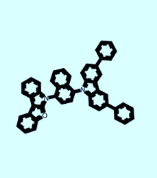 c1ccc(-c2ccc3c(c2)c2cc(-c4ccccc4)ccc2n3-c2ccc(-n3c4ccccc4c4c5ccccc5oc43)c3ccccc23)cc1